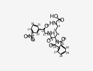 O=C(O)NCCCC(C(=O)NCC(=O)c1cccc([N+](=O)[O-])c1)N1C(=O)c2ccccc2C1=O